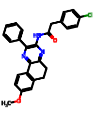 COc1ccc2c(c1)CCc1nc(NC(=O)Cc3ccc(Cl)cc3)c(-c3ccccc3)nc1-2